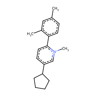 Cc1ccc(-c2ccc(C3CCCC3)c[n+]2C)c(C)c1